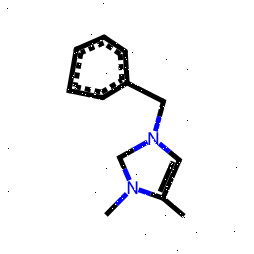 CC1=CN(Cc2ccccc2)CN1C